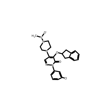 C[S+]([O-])N1CCN(c2cnn(-c3cccc(Cl)c3)c(=O)c2OC2Cc3ccccc3C2)CC1